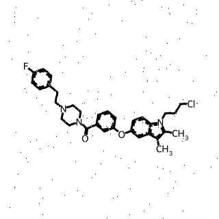 Cc1c(C)n(CCCCl)c2ccc(Oc3cccc(C(=O)N4CCN(CCc5ccc(F)cc5)CC4)c3)cc12